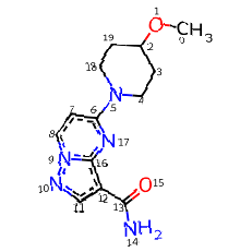 COC1CCN(c2ccn3ncc(C(N)=O)c3n2)CC1